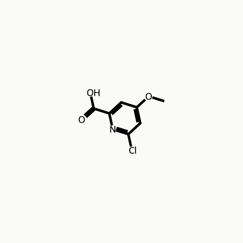 COc1cc(Cl)nc(C(=O)O)c1